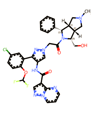 CN1C[C@@H]2[C@H](C1)[C@H](CO)N(C(=O)Cn1cc(NC(=O)c3cnn4cccnc34)c(-c3cc(Cl)ccc3OC(F)F)n1)[C@@H]2c1ccccc1